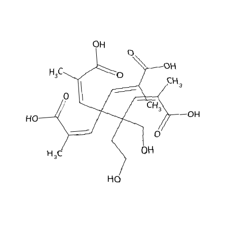 CC(=CC(C=C(C)C(=O)O)(C=C(C)C(=O)O)C(C=C(C)C(=O)O)(CO)CCO)C(=O)O